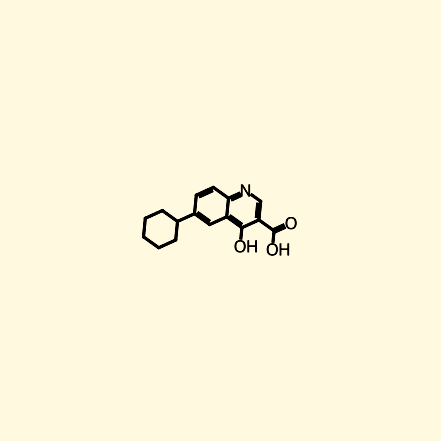 O=C(O)c1cnc2ccc(C3CCCCC3)cc2c1O